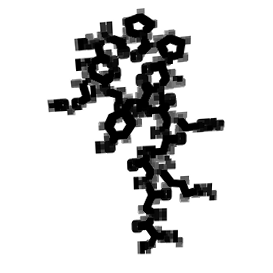 CC[C@H](C)[C@H](NC(=O)[C@@H]1CCCN1C(=O)[C@@H]1CCCN1C(=O)[C@H](C)NC(=O)[C@H](Cc1ccc(O)cc1)NC(=O)[C@H](CCSC)NC(=O)[C@H](C)NC(=O)[C@H](CCCCN)NC(=O)CNC(=O)[C@@H](N)C(C)C)C(=O)N[C@@H](CCC(=O)O)C(=O)NCC(=O)O